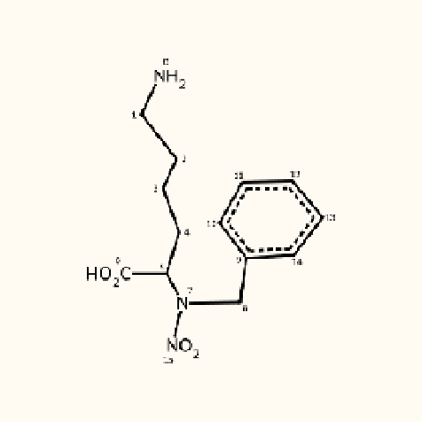 NCCCCC(C(=O)O)N(Cc1ccccc1)[N+](=O)[O-]